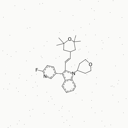 CC1(C)CC(C=Cc2c(-c3ccc(F)nc3)c3ccccc3n2C2CCOCC2)CC(C)(C)O1